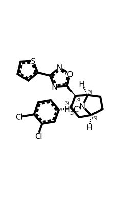 CN1[C@H]2CC[C@@H]1[C@H](c1nc(-c3cccs3)no1)[C@@H](c1ccc(Cl)c(Cl)c1)C2